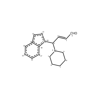 O=CC=CC(N1CCCCC1)n1ncc2cncnc21